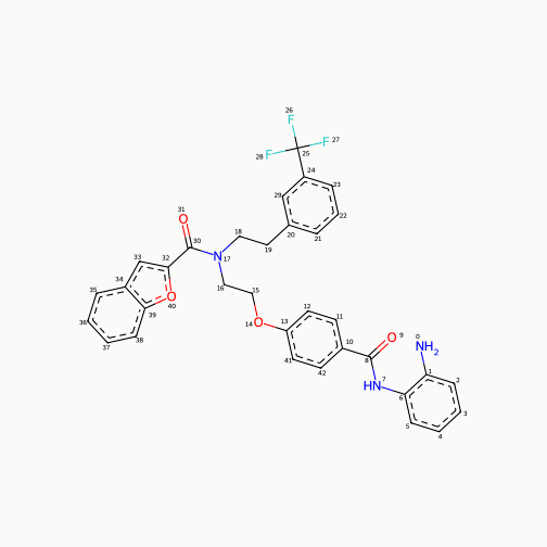 Nc1ccccc1NC(=O)c1ccc(OCCN(CCc2cccc(C(F)(F)F)c2)C(=O)c2cc3ccccc3o2)cc1